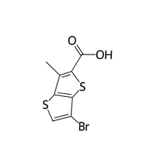 Cc1c(C(=O)O)sc2c(Br)csc12